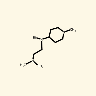 CCN(CCN(C)C)C1CCN(C)CC1